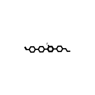 C=CC1CCC(C2CCC(c3ccc(C4CCC(CCC)CC4)cc3F)CC2)CC1